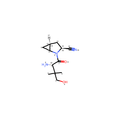 CC(C)(CO)[C@H](N)C(=O)N1C2C[C@H]2C[C@H]1C#N